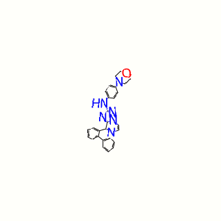 c1ccc(-c2ccccc2-c2nccn3nc(Nc4ccc(N5CCOCC5)cc4)nc23)cc1